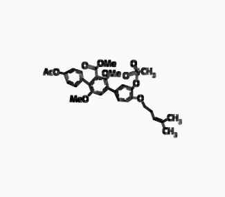 COC(=O)c1c(OC)c(-c2ccc(OCCC=C(C)C)c(OS(C)(=O)=O)c2)cc(OC)c1-c1ccc(OC(C)=O)cc1